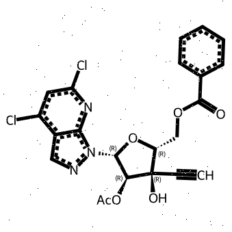 C#C[C@@]1(O)[C@@H](COC(=O)c2ccccc2)O[C@@H](n2ncc3c(Cl)cc(Cl)nc32)[C@@H]1OC(C)=O